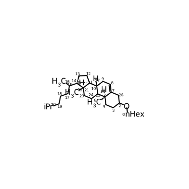 [CH2]CCCCCOC1CC[C@@]2(C)C(=CC[C@H]3[C@@H]4CC[C@H]([C@H](C)CCCC(C)C)[C@@]4(C)CC[C@@H]32)C1